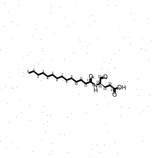 CCCCCCCCCCCCCC(=O)N[C@@H]([C]=O)CCC(=O)O